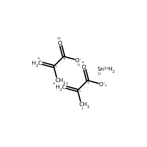 C=C(C)C(=O)[O-].C=C(C)C(=O)[O-].[SnH2+2]